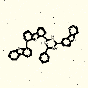 c1ccc(C2NC(c3ccc4oc5ccccc5c4c3)NC(c3cccc4c3sc3c(-c5cccc6c5sc5ccccc56)cccc34)N2)cc1